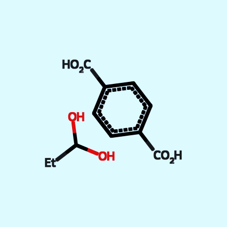 CCC(O)O.O=C(O)c1ccc(C(=O)O)cc1